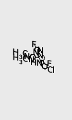 CN(C)c1ccc(C2c3[nH]c4ccc(Cl)c(F)c4c3CCN2c2ncc(F)cn2)cn1